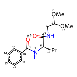 COC(CNC(=O)[C@H](NC(=O)c1ccccc1)C(C)C)OC